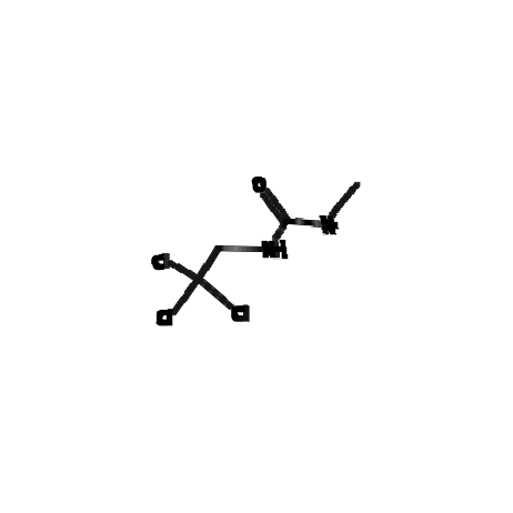 C[N]C(=O)NCC(Cl)(Cl)Cl